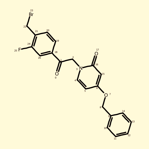 O=C(Cn1ccc(OCc2ccccc2)cc1=O)c1ccc(CBr)c(F)c1